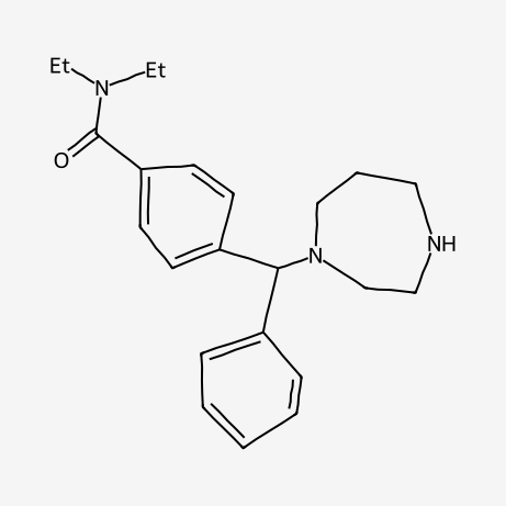 CCN(CC)C(=O)c1ccc(C(c2ccccc2)N2CCCNCC2)cc1